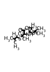 CC(C)CSC(C)(C)C(NC(=O)OC(C)(C)C)C(=O)O